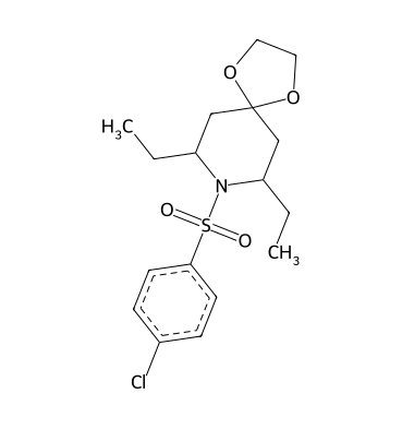 CCC1CC2(CC(CC)N1S(=O)(=O)c1ccc(Cl)cc1)OCCO2